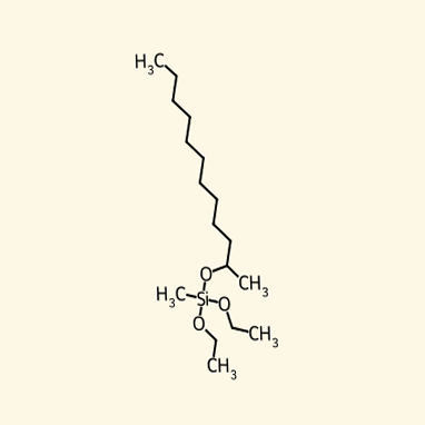 CCCCCCCCCCC(C)O[Si](C)(OCC)OCC